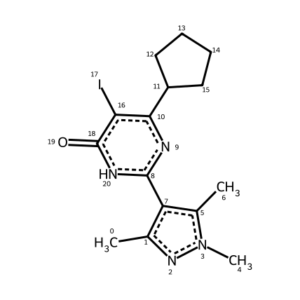 Cc1nn(C)c(C)c1-c1nc(C2CCCC2)c(I)c(=O)[nH]1